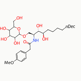 CCCCCCCCCCCCCC[C@@H](O)[C@@H](O)[C@H](COC1OC(CO)C(O)C(O)C1O)NC(=O)Cc1ccc(OC)cc1